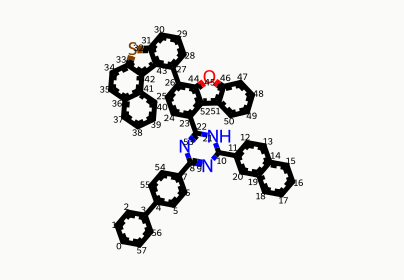 c1ccc(-c2ccc(C3=NC(c4ccc5ccccc5c4)NC(c4ccc(-c5cccc6sc7ccc8ccccc8c7c56)c5oc6ccccc6c45)=N3)cc2)cc1